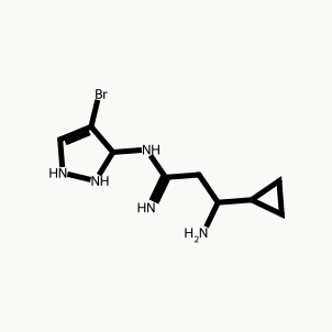 N=C(CC(N)C1CC1)NC1NNC=C1Br